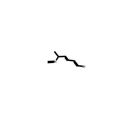 C=NC(C)C=C/C=C/Br